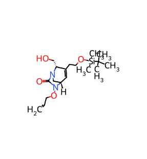 C=CCON1C(=O)N2C[C@@H]1C=C(CCO[Si](C)(C)C(C)(C)C)[C@H]2CO